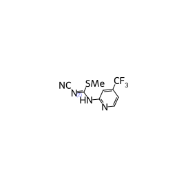 CS/C(=N\C#N)Nc1cc(C(F)(F)F)ccn1